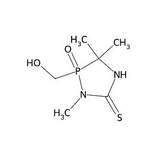 CN1C(=S)NC(C)(C)P1(=O)CO